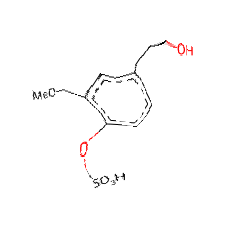 COc1cc(CO)ccc1OS(=O)(=O)O